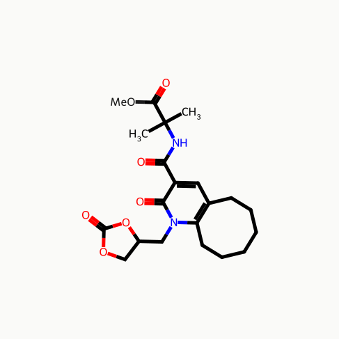 COC(=O)C(C)(C)NC(=O)c1cc2c(n(CC3COC(=O)O3)c1=O)CCCCCC2